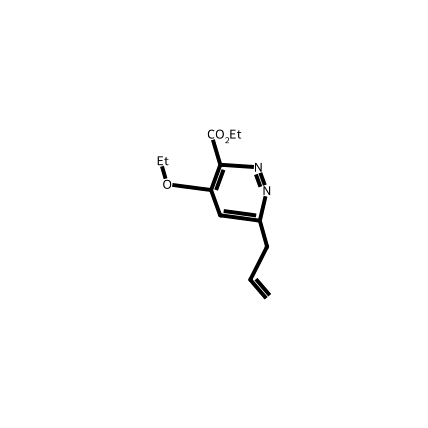 C=CCc1cc(OCC)c(C(=O)OCC)nn1